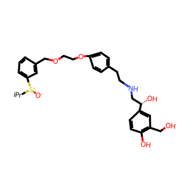 CC(C)[S+]([O-])c1cccc(COCCOc2ccc(CCNC[C@H](O)c3ccc(O)c(CO)c3)cc2)c1